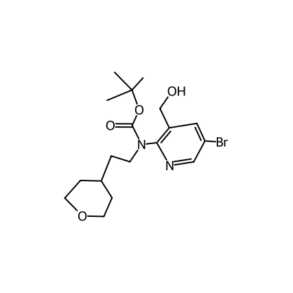 CC(C)(C)OC(=O)N(CCC1CCOCC1)c1ncc(Br)cc1CO